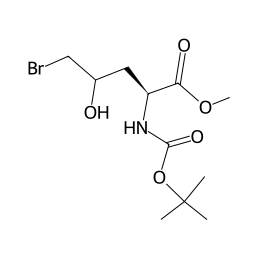 COC(=O)[C@H](CC(O)CBr)NC(=O)OC(C)(C)C